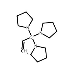 C=C[Si](N1CCCC1)(N1CCCC1)N1CCCC1